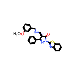 COc1cccc(CN/C=C2/C(=O)N(c3nc4ccccc4s3)N=C2c2ccccc2)c1